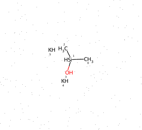 C[SiH](C)O.[KH].[KH]